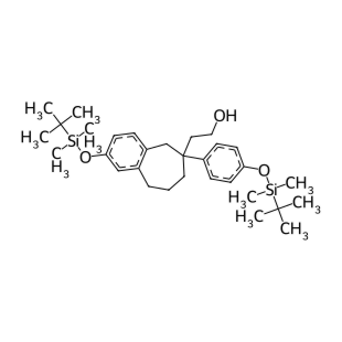 CC(C)(C)[Si](C)(C)Oc1ccc(C2(CCO)CCCc3cc(O[Si](C)(C)C(C)(C)C)ccc3C2)cc1